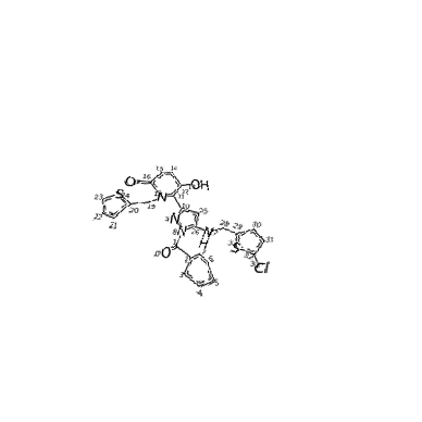 O=C(c1ccccc1)n1nc(-c2c(O)ccc(=O)n2Cc2cccs2)cc1NCc1ccc(Cl)s1